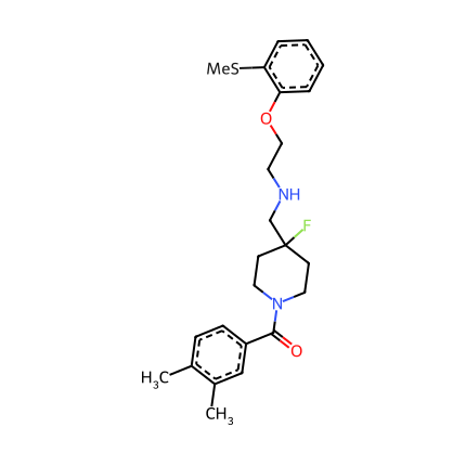 CSc1ccccc1OCCNCC1(F)CCN(C(=O)c2ccc(C)c(C)c2)CC1